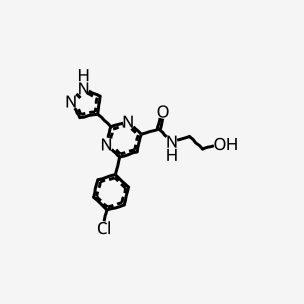 O=C(NCCO)c1cc(-c2ccc(Cl)cc2)nc(-c2cn[nH]c2)n1